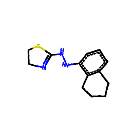 c1cc2c(c(NNC3=NCCS3)c1)CCCC2